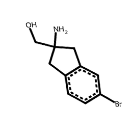 NC1(CO)Cc2ccc(Br)cc2C1